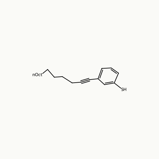 CCCCCCCCCCCCC#Cc1cccc(S)c1